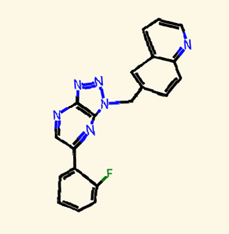 Fc1ccccc1-c1cnc2nnn(Cc3ccc4ncccc4c3)c2n1